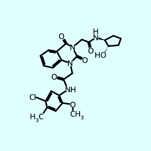 COc1cc(C)c(Cl)cc1NC(=O)Cn1c(=O)n(CC(=O)N[C@H]2CCC[C@@H]2O)c(=O)c2ccccc21